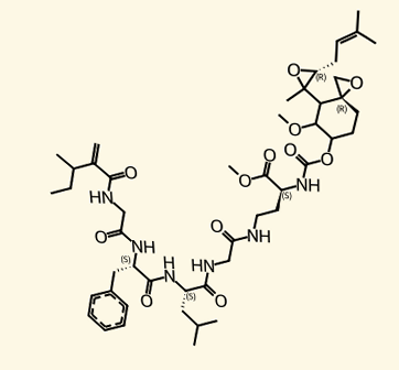 C=C(C(=O)NCC(=O)N[C@@H](Cc1ccccc1)C(=O)N[C@@H](CC(C)C)C(=O)NCC(=O)NCC[C@H](NC(=O)OC1CC[C@]2(CO2)C(C2(C)O[C@@H]2CC=C(C)C)C1OC)C(=O)OC)C(C)CC